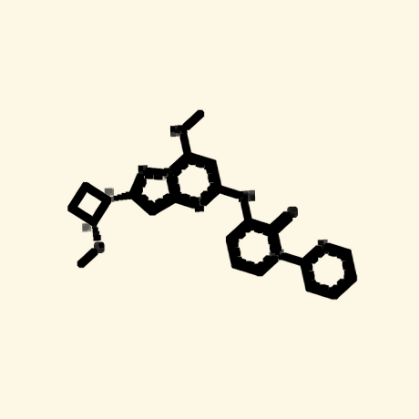 CNc1cc(Nc2cccn(-c3ccccn3)c2=O)nc2cc([C@H]3CC[C@H]3OC)nn12